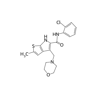 Cc1cc2c(CN3CCOCC3)c(C(=O)Nc3ccccc3Cl)[nH]c2s1